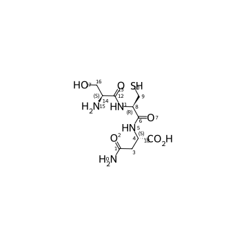 NC(=O)C[C@H](NC(=O)[C@H](CS)NC(=O)[C@@H](N)CO)C(=O)O